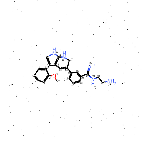 COc1ccccc1-c1c[nH]c2c1C=C(c1cccc(C(=N)NCCN)c1)CN2